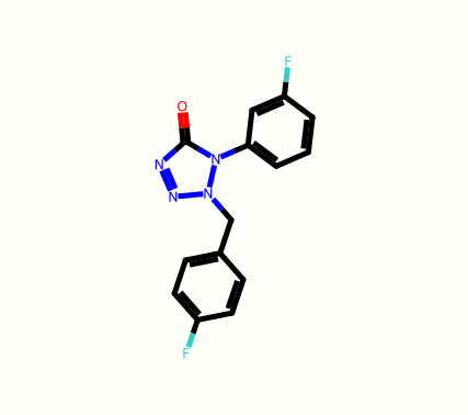 O=c1nnn(Cc2ccc(F)cc2)n1-c1cccc(F)c1